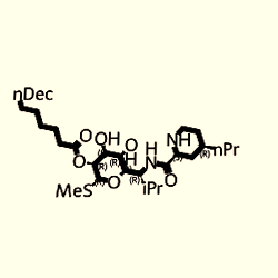 CCCCCCCCCCCCCCCC(=O)O[C@@H]1[C@@H](O)[C@@H](O)[C@@H]([C@H](NC(=O)[C@@H]2C[C@H](CCC)CCN2)C(C)C)O[C@@H]1SC